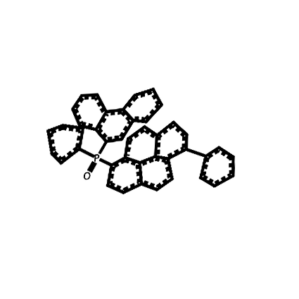 O=P(c1ccccc1)(c1cc2ccccc2c2ccccc12)c1ccc2ccc3c(-c4ccccc4)ccc4ccc1c2c43